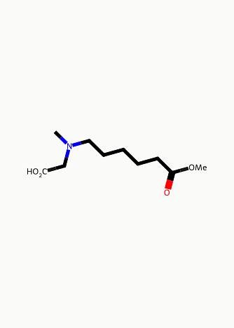 COC(=O)CCCCCN(C)CC(=O)O